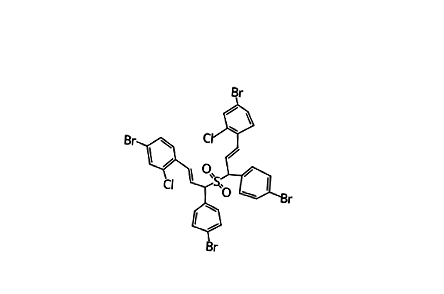 O=S(=O)(C(C=Cc1ccc(Br)cc1Cl)c1ccc(Br)cc1)C(C=Cc1ccc(Br)cc1Cl)c1ccc(Br)cc1